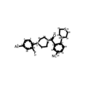 CC(=O)c1ccc(N2CCN(C(=O)c3cc(C#N)ccc3N3CCSCC3)CC2)c(F)c1